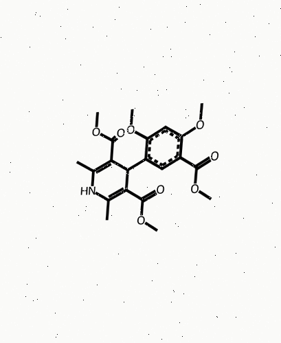 COC(=O)C1=C(C)NC(C)=C(C(=O)OC)C1c1cc(C(=O)OC)c(OC)cc1OC